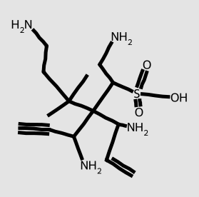 C#CC(N)C(C(N)C=C)(C(CN)S(=O)(=O)O)C(C)(C)CCN